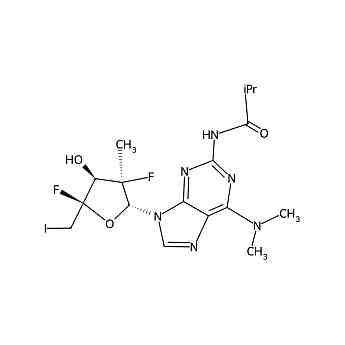 CC(C)C(=O)Nc1nc(N(C)C)c2ncn([C@@H]3O[C@](F)(CI)[C@@H](O)[C@@]3(C)F)c2n1